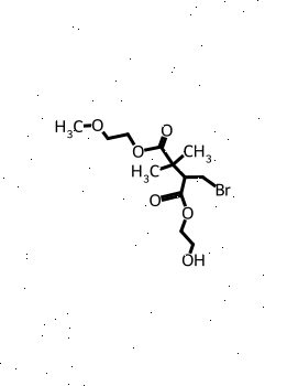 COCCOC(=O)C(C)(C)C(CBr)C(=O)OCCO